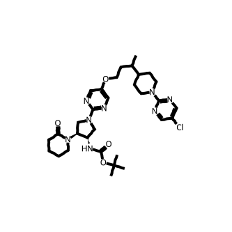 CC(CCOc1cnc(N2C[C@H](NC(=O)OC(C)(C)C)[C@@H](N3CCCCC3=O)C2)nc1)C1CCN(c2ncc(Cl)cn2)CC1